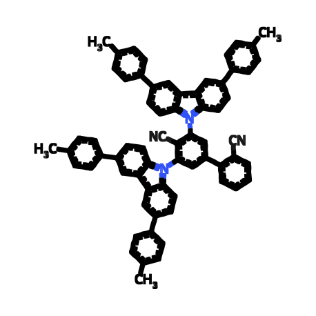 Cc1ccc(-c2ccc3c(c2)c2cc(-c4ccc(C)cc4)ccc2n3-c2cc(-c3ccccc3C#N)cc(-n3c4ccc(-c5ccc(C)cc5)cc4c4cc(-c5ccc(C)cc5)ccc43)c2C#N)cc1